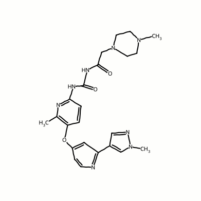 Cc1nc(NC(=O)NC(=O)CN2CCN(C)CC2)ccc1Oc1ccnc(-c2cnn(C)c2)c1